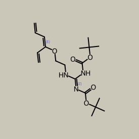 C=C/C=C(\C=C)OCCN/C(=N/C(=O)OC(C)(C)C)NC(=O)OC(C)(C)C